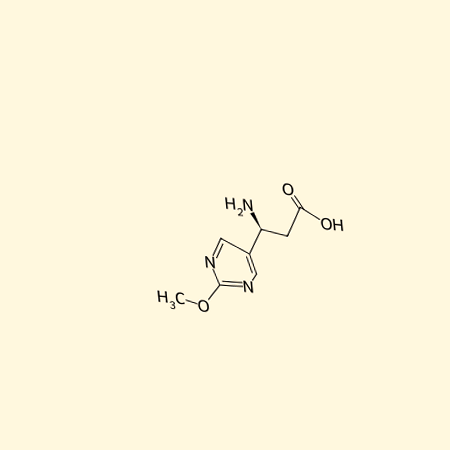 COc1ncc([C@@H](N)CC(=O)O)cn1